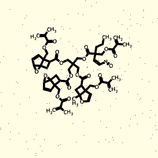 C=C(C)C(=O)OCC(/C=C\N=O)(CCC)C(=O)OCC(COC(=O)C1CC2(C)OC=CC12COC(=O)C(=C)C)(COC(=O)C1CC23OC2C=CC13COC(=O)C(=C)C)COC(=O)C1CC23OC2C=CC13COC(=O)C(=C)C